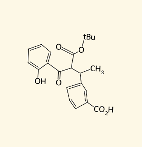 CC(c1cccc(C(=O)O)c1)C(C(=O)OC(C)(C)C)C(=O)c1ccccc1O